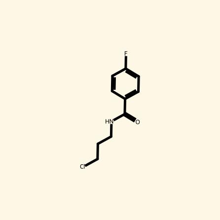 O=C(NCCCCl)c1ccc(F)cc1